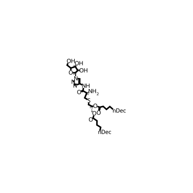 CCCCCCCCCCCCCC(=O)OC[C@H](CSC[C@@H](N)C(=O)Nc1cn([C@H]2OC(CO)[C@@H](O)[C@H]2O)nn1)OC(=O)CCCCCCCCCCCCC